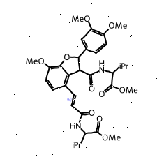 COC(=O)C(NC(=O)/C=C/c1ccc(OC)c2c1C(C(=O)NC(C(=O)OC)C(C)C)C(c1ccc(OC)c(OC)c1)O2)C(C)C